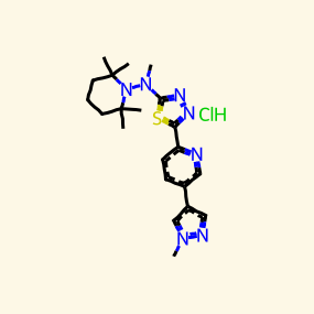 CN(c1nnc(-c2ccc(-c3cnn(C)c3)cn2)s1)N1C(C)(C)CCCC1(C)C.Cl